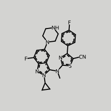 CN(c1nc(-c2ccc(F)cc2)c(C#N)s1)c1c2cc(N3CCNCC3)cc(F)c2nn1C1CC1